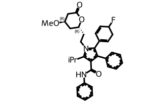 CO[C@H]1CC(=O)O[C@H](CCn2c(C3=CCC(F)C=C3)c(-c3ccccc3)c(C(=O)Nc3ccccc3)c2C(C)C)C1